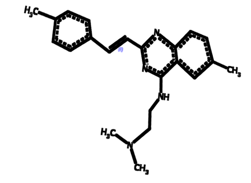 Cc1ccc(/C=C/c2nc(NCCN(C)C)c3cc(C)ccc3n2)cc1